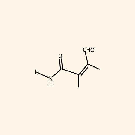 C/C(C=O)=C(\C)C(=O)NI